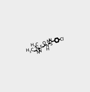 CCc1nnc(SCC(=O)Nc2nnc(-c3ccc(Cl)cc3)s2)n1CC